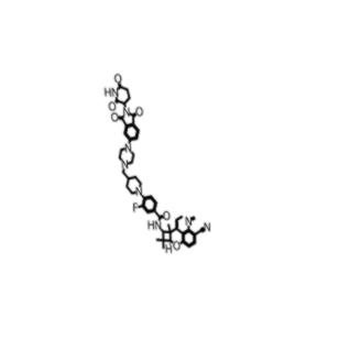 C=Nc1c(C#N)ccc2c1/C(=C\C)C1(C)C(NC(=O)c3ccc(N4CCC(CN5CCN(c6ccc7c(c6)C(=O)N(C6CCC(=O)NC6=O)C7=O)CC5)CC4)c(F)c3)C(C)(C)[C@@H]1O2